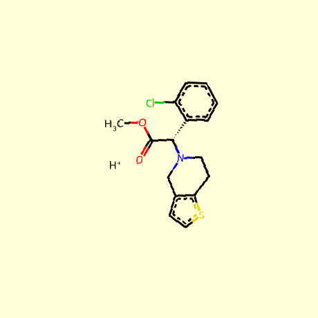 COC(=O)[C@H](c1ccccc1Cl)N1CCc2sccc2C1.[H+]